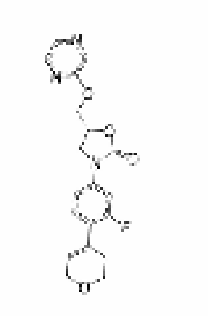 O=C1O[C@@H](COc2cnccn2)CN1c1ccc(C2=CCOCC2)c(F)c1